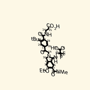 CCOc1cc2c(cc1C(=O)NC)C(=N)N(CC(=O)c1ccc(C(=O)NCCC(=O)O)c(C(C)(C)C)c1)C2.O=C(O)C(F)(F)F